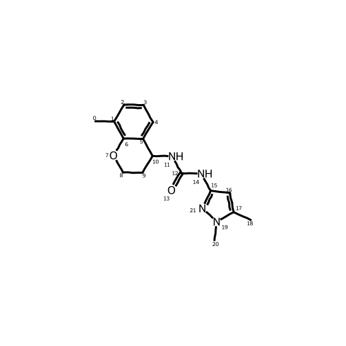 Cc1cccc2c1OCCC2NC(=O)Nc1cc(C)n(C)n1